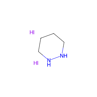 C1CCNNC1.I.I